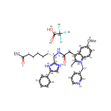 CCC(=O)CCCCC[C@H](NC(=O)Cc1c(C)n(Cc2cccnc2)c2ccc(OC)cc12)c1ncc(-c2ccccc2)[nH]1.O=C(O)C(F)(F)F